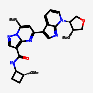 CNc1cc(-c2cnc3n([C@@H]4COC[C@H]4OC)cccc2-3)nc2c(C(=O)NC3CC[C@H]3OC)cnn12